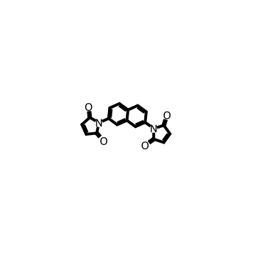 O=C1C=CC(=O)N1c1ccc2ccc(N3C(=O)C=CC3=O)cc2c1